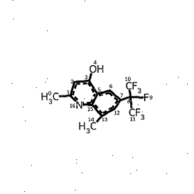 Cc1cc(O)c2cc(C(F)(C(F)(F)F)C(F)(F)F)cc(C)c2n1